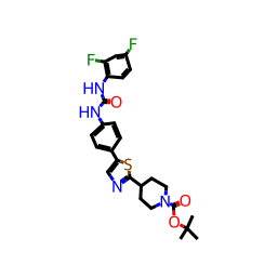 CC(C)(C)OC(=O)N1CCC(c2ncc(-c3ccc(NC(=O)Nc4ccc(F)cc4F)cc3)s2)CC1